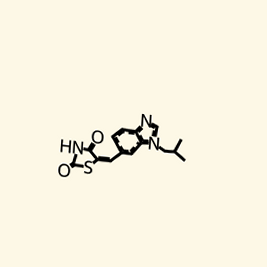 CC(C)Cn1cnc2ccc(/C=C3/SC(=O)NC3=O)cc21